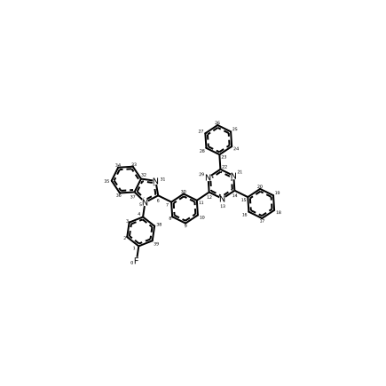 Fc1ccc(-n2c(-c3cccc(-c4nc(-c5ccccc5)nc(-c5ccccc5)n4)c3)nc3ccccc32)cc1